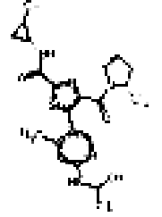 Cc1cc(NC(C)C)ncc1-c1sc(C(=O)N[C@@H]2C[C@H]2O)nc1C(=O)N1CCC[C@@H]1C